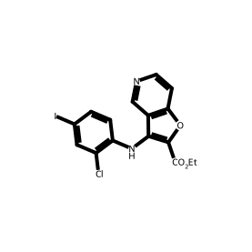 CCOC(=O)c1oc2ccncc2c1Nc1ccc(I)cc1Cl